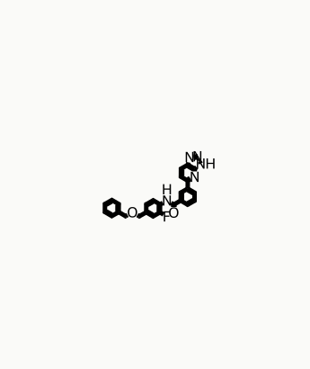 O=C(Nc1ccc(COCc2ccccc2)cc1F)c1cccc(-c2ccc3nn[nH]c3n2)c1